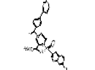 COC(=O)C1=CN(C(=O)c2ccc(-c3ccncc3)cc2)CCN1S(=O)(=O)c1ccc2cc(Cl)ccc2c1